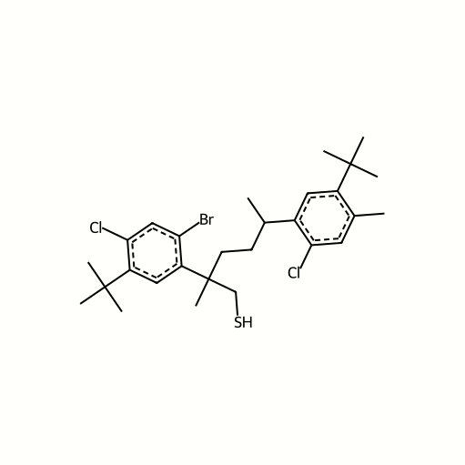 Cc1cc(Cl)c(C(C)CCC(C)(CS)c2cc(C(C)(C)C)c(Cl)cc2Br)cc1C(C)(C)C